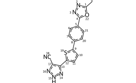 Cc1nnc(-c2ccc(-c3ccc(-c4n[nH]nc4C#N)s3)cc2)o1